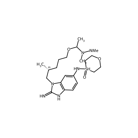 CNN(C)C(C)OCCC[C@@H](C)Cn1c(=N)[nH]c2ccc(N[SH]3(=O)CCOCC3)cc21